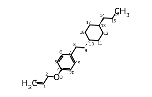 C=CCOc1ccc(CC[C@H]2CC[C@H](CCC)CC2)cc1